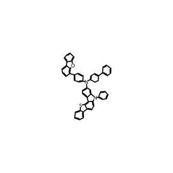 C1=C(c2ccccc2)CCC(N(c2ccc(-c3cccc4c3oc3ccccc34)cc2)c2ccc3c4c5sc6ccccc6c5ccc4n(-c4ccccc4)c3c2)=C1